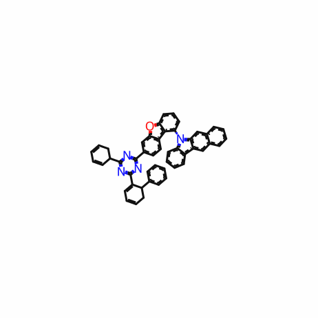 C1=CCC(c2nc(C3=CC=CCC3c3ccccc3)nc(-c3ccc4c(c3)oc3cccc(-n5c6ccccc6c6cc7ccccc7cc65)c34)n2)C=C1